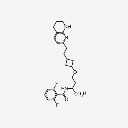 O=C(NC(CCOC1CC(CCc2ccc3c(n2)NCCC3)C1)C(=O)O)c1c(F)cccc1F